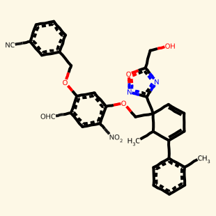 Cc1ccccc1C1=CC=CC(COc2cc(OCc3cccc(C#N)c3)c(C=O)cc2[N+](=O)[O-])(c2noc(CO)n2)C1C